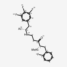 CN[C@@H](Cc1ccccc1F)C(=O)CCN[C@@H](Cc1cc(F)c(F)c(F)c1)C(C)=O